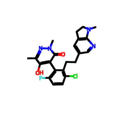 Cc1nn(C)c(=O)c(-c2c(F)ccc(Cl)c2CCc2cnc3c(c2)CCN3C)c1O